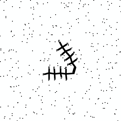 FC(F)(F)C(F)(F)C(F)(F)C(F)(F)/C=C\C(F)(F)C(F)(F)C(F)(F)C(F)(F)F